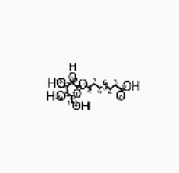 O=C(O)CCSCCCO[C@H]1OC(CO)[C@H](O)C(O)C1O